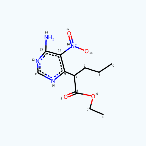 CCCC(C(=O)OCC)c1ncnc(N)c1[N+](=O)[O-]